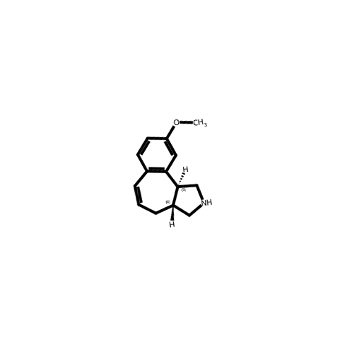 COc1ccc2c(c1)[C@H]1CNC[C@@H]1CC=C2